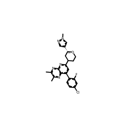 Cc1nc2nc(C3CCO[C@@H](c4cnn(C)c4)C3)cc(-c3ccc(Cl)cc3F)c2nc1C